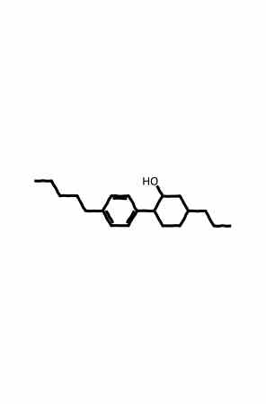 CCCCCc1ccc(C2CCC(CCC)CC2O)cc1